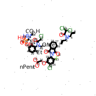 C=CCN(CC=C)C(=O)C(Cl)Cl.CCCCCOC(=O)COc1cc(N2C(=O)C3=C(CCCC3)C2=O)c(F)cc1Cl.CCc1cccc(CC)c1N(COC)C(=O)CCl.O=C(O)CNCP(=O)(O)O